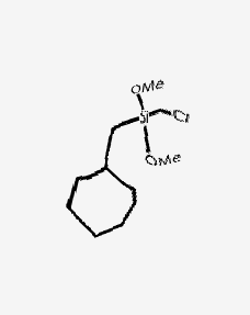 CO[Si](Cl)(CC1CCCCC1)OC